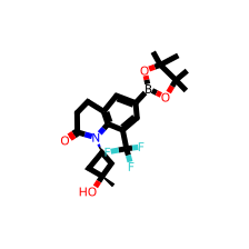 CC1(C)OB(c2cc3c(c(C(F)(F)F)c2)N([C@H]2C[C@@](C)(O)C2)C(=O)CC3)OC1(C)C